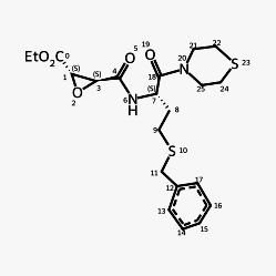 CCOC(=O)[C@H]1O[C@@H]1C(=O)N[C@@H](CCSCc1ccccc1)C(=O)N1CCSCC1